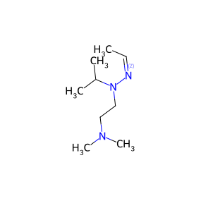 C/C=N\N(CCN(C)C)C(C)C